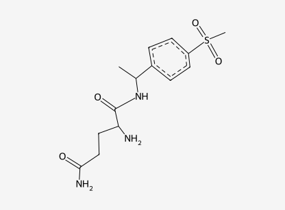 CC(NC(=O)C(N)CCC(N)=O)c1ccc(S(C)(=O)=O)cc1